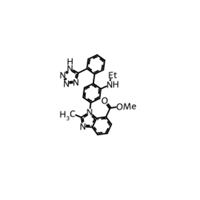 CCNc1cc(-n2c(C)nc3cccc(C(=O)OC)c32)ccc1-c1ccccc1-c1nnn[nH]1